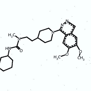 COc1cc2cnnc(N3CCC(CCN(C)C(=O)NC4CCCCC4)CC3)c2cc1OC